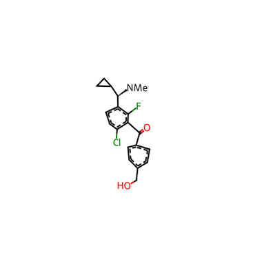 CN[C@@H](c1ccc(Cl)c(C(=O)c2ccc(CO)cc2)c1F)C1CC1